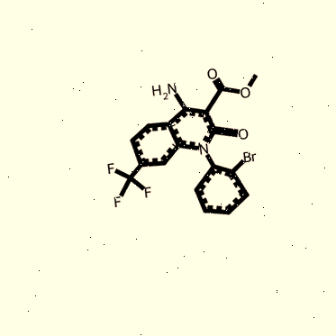 COC(=O)c1c(N)c2ccc(C(F)(F)F)cc2n(-c2ccccc2Br)c1=O